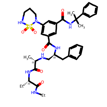 CCNC(=O)[C@H](CC)NC(=O)[C@H](C)NC[C@H](Cc1ccccc1)NC(=O)c1cc(C(=O)NC(C)(C)c2ccccc2)cc(N2CCCNS2(=O)=O)c1